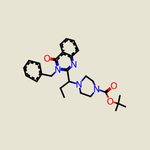 CCC(c1nc2ccccc2c(=O)n1Cc1ccccc1)N1CCN(C(=O)OC(C)(C)C)CC1